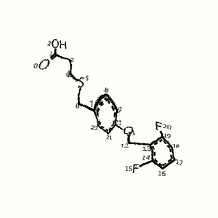 O=C(O)CCSCc1ccc(OCc2c(F)cccc2F)cc1